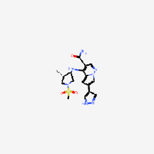 C[C@H]1CN(S(C)(=O)=O)C[C@H]1Nc1c(C(N)=O)cnn2cc(-c3cn[nH]c3)cc12